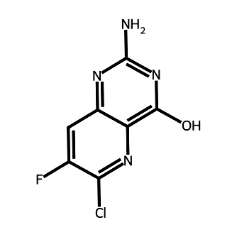 Nc1nc(O)c2nc(Cl)c(F)cc2n1